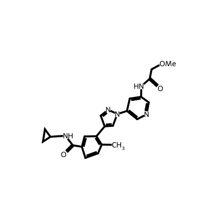 COCC(=O)Nc1cncc(-n2cc(-c3cc(C(=O)NC4CC4)ccc3C)cn2)c1